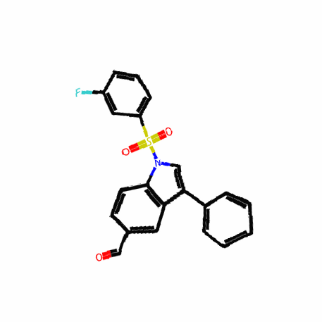 O=Cc1ccc2c(c1)c(-c1ccccc1)cn2S(=O)(=O)c1cccc(F)c1